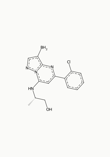 Bc1cnn2c(N[C@@H](C)CO)cc(-c3ccccc3Cl)nc12